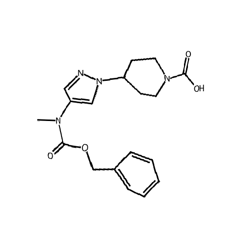 CN(C(=O)OCc1ccccc1)c1cnn(C2CCN(C(=O)O)CC2)c1